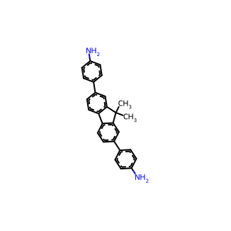 CC1(C)c2cc(-c3ccc(N)cc3)ccc2-c2ccc(-c3ccc(N)cc3)cc21